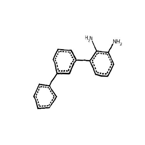 Nc1cccc(-c2cccc(-c3ccccc3)c2)c1N